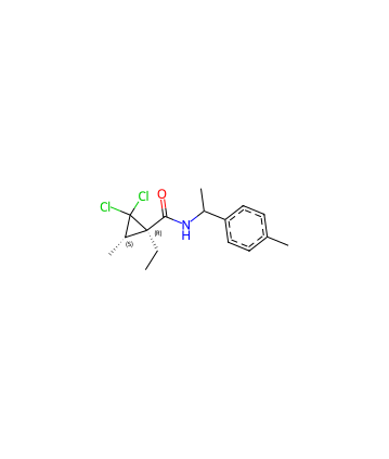 CC[C@]1(C(=O)NC(C)c2ccc(C)cc2)[C@H](C)C1(Cl)Cl